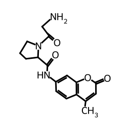 Cc1cc(=O)oc2cc(NC(=O)C3CCCN3C(=O)CN)ccc12